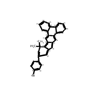 CC1(C)C=C(c2ccc(Br)cc2)C=C2C=c3cc4c5ccccc5c5ccccc5c4cc3=C21